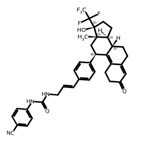 C[C@]12C[C@H](c3ccc(C=CCNC(=O)Nc4ccc(C#N)cc4)cc3)C3=C4CCC(=O)C=C4CC[C@H]3[C@@H]1CC[C@@]2(O)C(F)(F)C(F)(F)F